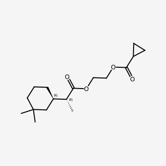 C[C@@H](C(=O)OCCOC(=O)C1CC1)[C@@H]1CCCC(C)(C)C1